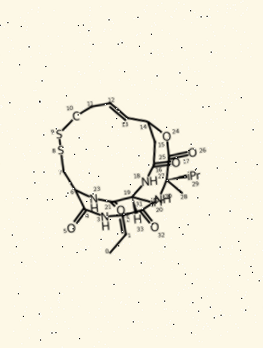 C/C=C1\NC(=O)C2CSSCC/C=C/C(CC(=O)N[C@H](C(C)C)C(=O)N2)OC(=O)[C@@](C)(C(C)C)NC1=O